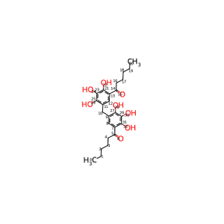 CCCCCC(=O)c1cc(Cc2cc(C(=O)CCCCC)c(O)c(O)c2O)c(O)c(O)c1O